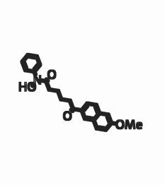 COc1ccc2cc(C(=O)CCCCC(=O)N(O)c3ccccc3)ccc2c1